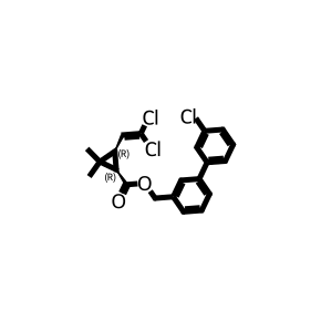 CC1(C)[C@H](C(=O)OCc2cccc(-c3cccc(Cl)c3)c2)[C@@H]1C=C(Cl)Cl